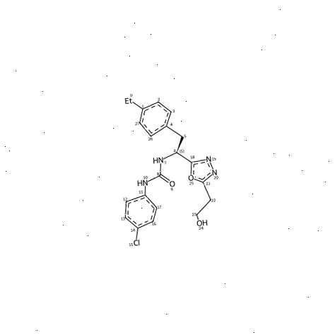 CCc1ccc(C[C@H](NC(=O)Nc2ccc(Cl)cc2)c2nnc(CCO)o2)cc1